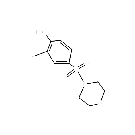 Cc1ccc(S(=O)(=O)N2CCOCC2)cc1F